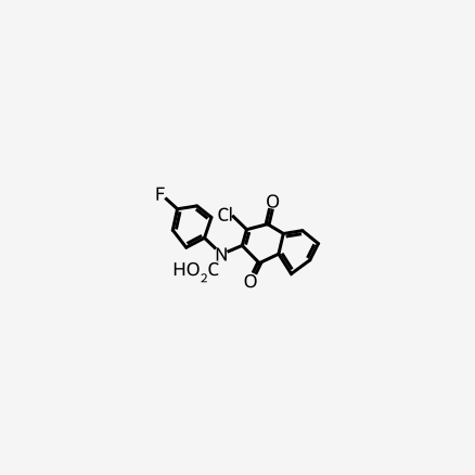 O=C1C(Cl)=C(N(C(=O)O)c2ccc(F)cc2)C(=O)c2ccccc21